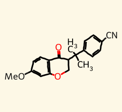 COc1ccc2c(c1)OCC(C(C)(C)c1ccc(C#N)cc1)C2=O